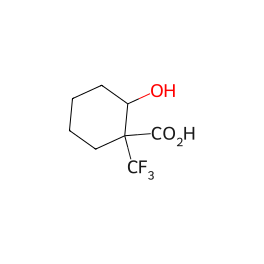 O=C(O)C1(C(F)(F)F)CCCCC1O